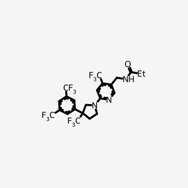 CCC(=O)NCc1cnc(N2CCC(c3cc(C(F)(F)F)cc(C(F)(F)F)c3)(C(F)(F)F)C2)cc1C(F)(F)F